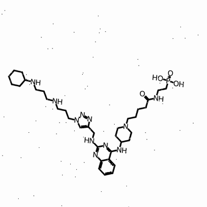 O=C(CCCCN1CCC(Nc2nc(NCc3cn(CCCNCCCNC4CCCCC4)nn3)nc3ccccc23)CC1)NCCP(=O)(O)O